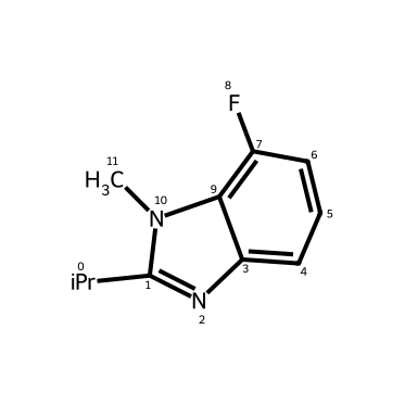 CC(C)c1nc2cccc(F)c2n1C